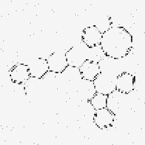 C=C1/C=C\C=C/CN(c2cc(/C(=C/C(=C/c3ccccc3C)C(C)C)CC)cc(-c3nc4ccccc4n3-c3ccccc3)c2)c2ccccc21